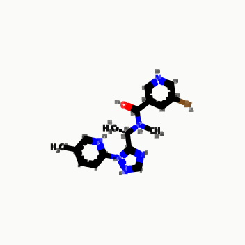 Cc1ccc(-n2ncnc2[C@H](C)N(C)C(=O)c2cncc(Br)c2)nc1